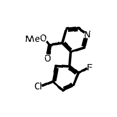 COC(=O)c1ccncc1-c1cc(Cl)ccc1F